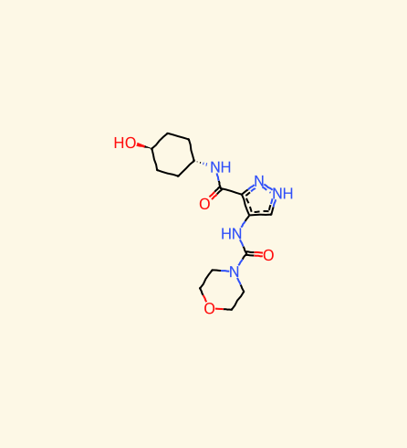 O=C(N[C@H]1CC[C@H](O)CC1)c1n[nH]cc1NC(=O)N1CCOCC1